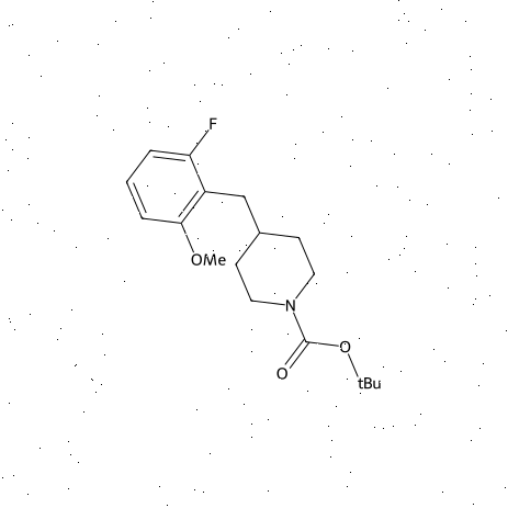 COc1cccc(F)c1CC1CCN(C(=O)OC(C)(C)C)CC1